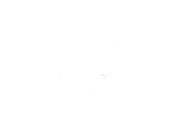 CC1=NC(C)(C)C1